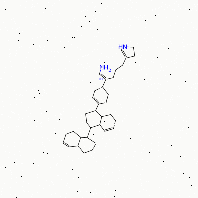 N/C=C(\CCCC1=CNCC1)C1CC=C(C2CCC(C3CCCC4C=CCCC43)C3C=CCCC23)CC1